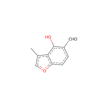 Cc1coc2ccc(C=O)c(O)c12